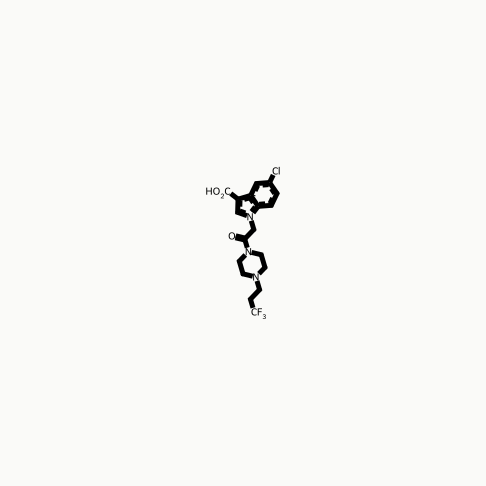 O=C(O)c1cn(CC(=O)N2CCN(CCC(F)(F)F)CC2)c2ccc(Cl)cc12